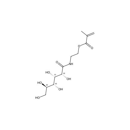 C=C(C)C(=O)OCCNC(=O)[C@H](O)[C@@H](O)[C@H](O)[C@H](O)CO